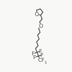 FC(F)(F)C(F)(F)C(F)(F)CCCCCCCOCCC1CCCO1